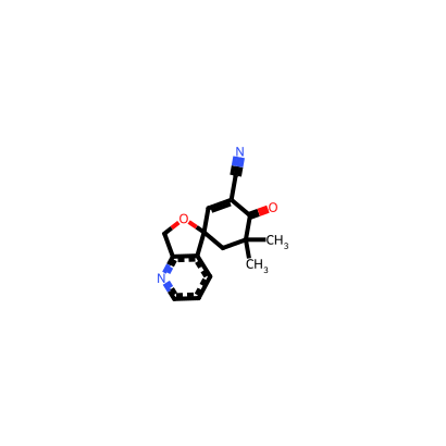 CC1(C)CC2(C=C(C#N)C1=O)OCc1ncccc12